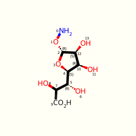 NO[C@H]1O[C@H]([C@H](O)C(O)C(=O)O)[C@H](O)[C@@H]1O